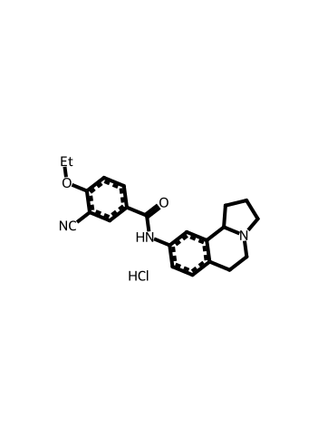 CCOc1ccc(C(=O)Nc2ccc3c(c2)C2CCCN2CC3)cc1C#N.Cl